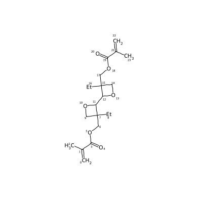 C=C(C)C(=O)OCC1(CC)COC1C1OCC1(CC)COC(=O)C(=C)C